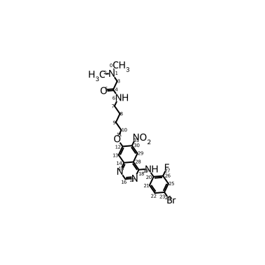 CN(C)CC(=O)NCCCCOc1cc2ncnc(Nc3ccc(Br)cc3F)c2cc1[N+](=O)[O-]